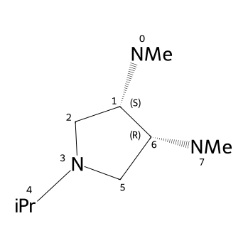 CN[C@H]1CN(C(C)C)C[C@H]1NC